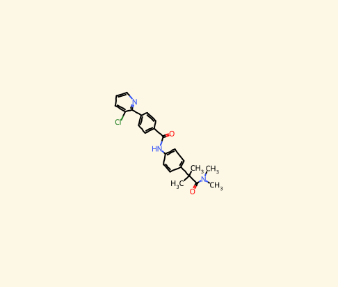 CN(C)C(=O)C(C)(C)c1ccc(NC(=O)c2ccc(-c3ncccc3Cl)cc2)cc1